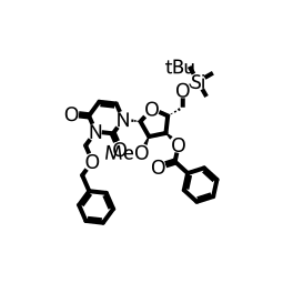 CO[C@@H]1[C@H](OC(=O)c2ccccc2)[C@@H](CO[Si](C)(C)C(C)(C)C)O[C@H]1n1ccc(=O)n(COCc2ccccc2)c1=O